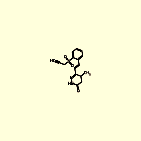 C#CCS(=O)(=O)c1ccccc1C=CC1=NNC(=O)CC1C